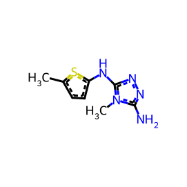 Cc1ccc(Nc2nnc(N)n2C)s1